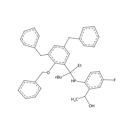 CCCCC(CC)(Pc1ccc(F)cc1C(C)O)c1cc(Cc2ccccc2)cc(Cc2ccccc2)c1OCc1ccccc1